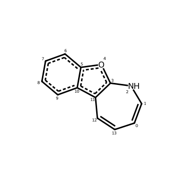 C1=CNc2oc3ccccc3c2C=C1